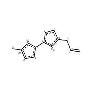 C=CCc1ccc(-c2ccc(C)s2)s1